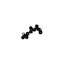 O=c1c2ccccc2c2cccc3c4cc(-c5ccc6c7ccc(-n8c9ccccc9c9cc%10sc%11ccccc%11c%10cc98)cc7c7ccccc7c6c5)ccc4n1c23